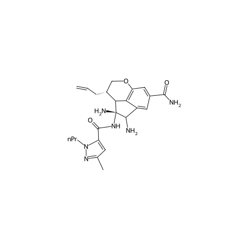 C=CC[C@@H]1COc2cc(C(N)=O)cc3c2C1[C@@](N)(NC(=O)c1cc(C)nn1CCC)C3N